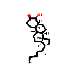 CC(C)CCC[C@@H](C)[C@H]1CC[C@H]2[C@@H]3CC[C@H]4[C@H](O)C(=O)CC[C@]4(C)[C@H]3CC[C@]12C